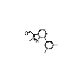 Cc1cc(C)cc(-c2cccc3c(C=O)n(C)nc23)c1